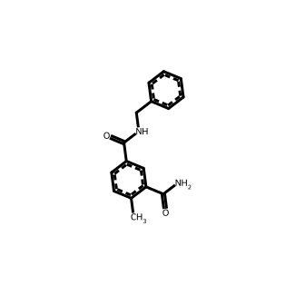 Cc1ccc(C(=O)NCc2ccccc2)cc1C(N)=O